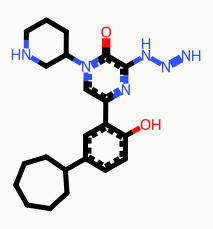 N=NNc1nc(-c2cc(C3CCCCCC3)ccc2O)cn(C2CCCNC2)c1=O